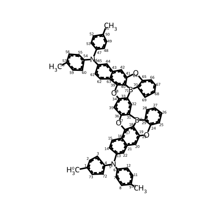 Cc1ccc(N(c2ccc(C)cc2)c2ccc3c4c5c(cc3c2)Oc2ccccc2B5c2cc3c(cc2O4)Oc2c4c(cc5cc(N(c6ccc(C)cc6)c6ccc(C)cc6)ccc25)Oc2ccccc2B34)cc1